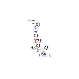 Cc1cc(S(=O)(=O)NC(=O)c2ccc(N3CCN(Cc4ccccc4-c4ccc(Cl)cc4)CC3)cc2)ccc1N[C@@H](CSc1ccccc1)CN(C)CCN(C)C